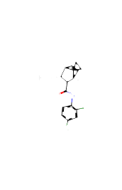 O=C(Nc1ccc(Br)cc1F)C1[C@H](C(=O)O)[C@H]2C=C[C@@H]1C21CC1